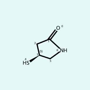 O=C1C[C@H](S)CN1